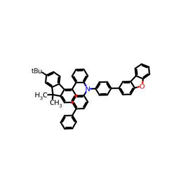 CC(C)(C)c1ccc2c(c1)C(C)(C)c1cccc(-c3ccccc3N(c3ccc(-c4ccccc4)cc3)c3ccc(-c4ccc5oc6ccccc6c5c4)cc3)c1-2